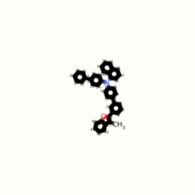 Cc1c(-c2cccc(-c3ccc(N(c4ccc(-c5ccccc5)cc4)c4cccc5ccccc45)cc3)c2)oc2ccccc12